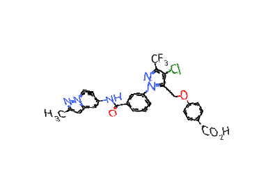 Cc1cc2cc(NC(=O)c3cccc(-n4nc(C(F)(F)F)c(Cl)c4COc4ccc(C(=O)O)cc4)c3)ccn2n1